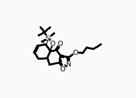 CCCCOc1noc2c1C(=O)[C@@]1(O[Si](C)(C)C(C)(C)C)C(=O)C=CCC1C2